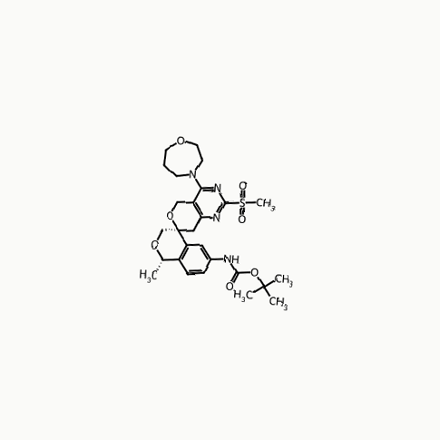 C[C@@H]1OC[C@]2(Cc3nc(S(C)(=O)=O)nc(N4CCCOCC4)c3CO2)c2cc(NC(=O)OC(C)(C)C)ccc21